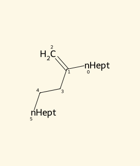 [CH2]CCCCCCC(=C)CCCCCCCCC